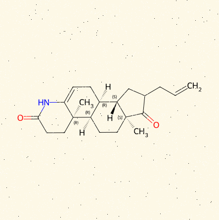 C=CCC1C[C@H]2[C@@H]3CC=C4NC(=O)CC[C@]4(C)[C@@H]3CC[C@]2(C)C1=O